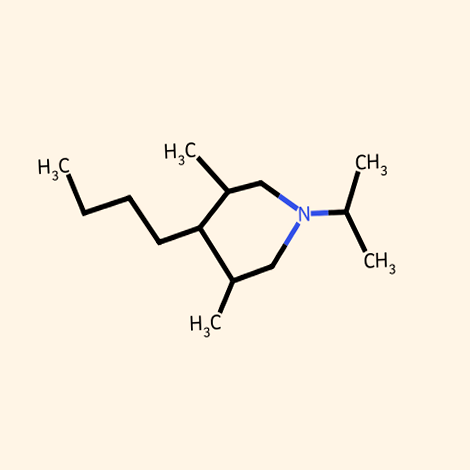 CCCCC1C(C)CN(C(C)C)CC1C